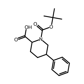 CC(C)(C)OC(=O)N1CC(c2ccccc2)CCC1C(=O)O